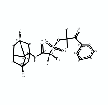 CC(C)(OS(=O)(=O)C(F)(F)C(=O)NC12CC3C[C@H](C1)C[C@@H](C3)C2)C(=O)c1ccccc1